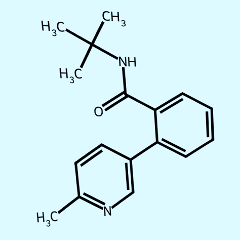 Cc1ccc(-c2ccccc2C(=O)NC(C)(C)C)cn1